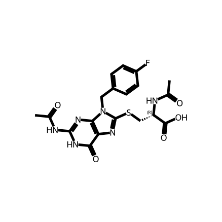 CC(=O)Nc1nc2c(nc(SC[C@H](NC(C)=O)C(=O)O)n2Cc2ccc(F)cc2)c(=O)[nH]1